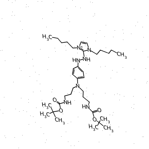 CCCCCn1cc[n+](CCCCC)c1NNc1ccc(N(CCCNC(=O)OC(C)(C)C)CCCNC(=O)OC(C)(C)C)cc1